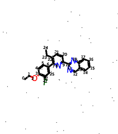 CCOc1ccc(-c2nc(-c3ncc4ccccc4n3)ccc2CC)cc1F